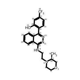 C[C@H]1COCCN1CCNc1nnc(-c2ccc(C(F)(F)F)cc2O)c2ccccc12